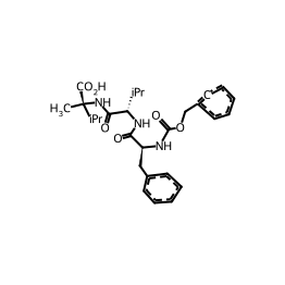 CC(C)[C@H](NC(=O)[C@H](Cc1ccccc1)NC(=O)OCc1ccccc1)C(=O)N[C@](C)(C(=O)O)C(C)C